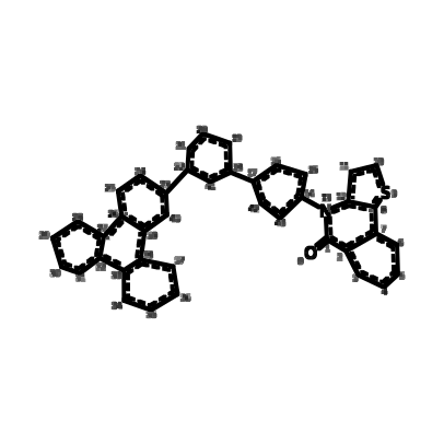 O=c1c2ccccc2c2sccc2n1-c1ccc(-c2cccc(-c3ccc4c5ccccc5c5ccccc5c4c3)c2)cc1